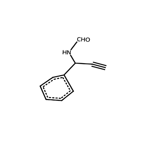 C#CC(NC=O)c1ccccc1